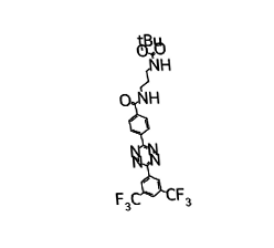 CC(C)(C)OC(=O)NCCCNC(=O)c1ccc(-c2nnc(-c3cc(C(F)(F)F)cc(C(F)(F)F)c3)nn2)cc1